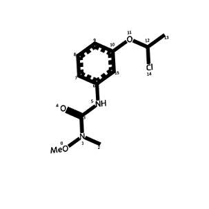 CON(C)C(=O)Nc1cccc(OC(C)Cl)c1